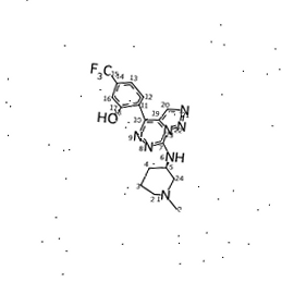 CN1CCC[C@@H](Nc2nnc(-c3ccc(C(F)(F)F)cc3O)c3cnnn23)C1